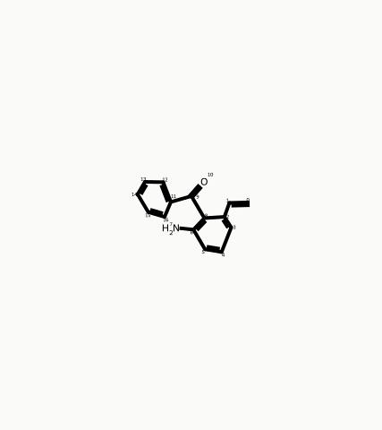 C=Cc1cccc(N)c1C(=O)c1ccccc1